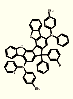 CC(C)(C)c1ccc(N(c2ccccn2)c2cc3c(c4oc5ccccc5c24)-c2c(cc(N(c4ccccc4)c4ccc(C(C)(C)C)cc4)c4c2sc2ccccc24)C3(c2ccccc2)c2cccc(F)c2)cc1